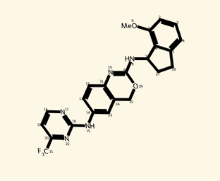 COc1cccc2c1C(NC1=Nc3ccc(Nc4nccc(C(F)(F)F)n4)cc3CO1)CC2